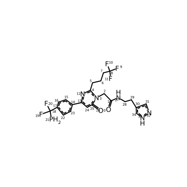 O=C(Cn1c(CCCC(F)(F)F)nc(-c2ccc(C(F)(F)P)cc2)cc1=O)NCCc1cn[nH]c1